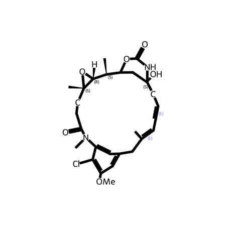 COc1cc2cc(c1Cl)N(C)C(=O)CC[C@]1(C)O[C@@H]1[C@@H](C)C1C[C@@](O)(C/C=C/C=C(\C)C2)NC(=O)O1